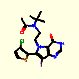 CC(=O)N(CCn1c(-c2sccc2Cl)c(I)c2nc[nH]c(=O)c21)C(C)(C)C